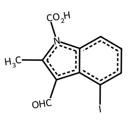 Cc1c(C=O)c2c(I)cccc2n1C(=O)O